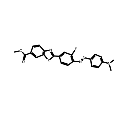 COC(=O)c1ccc2nc(-c3ccc(/N=N/c4ccc(N(C)C)cc4)c(F)c3)sc2c1